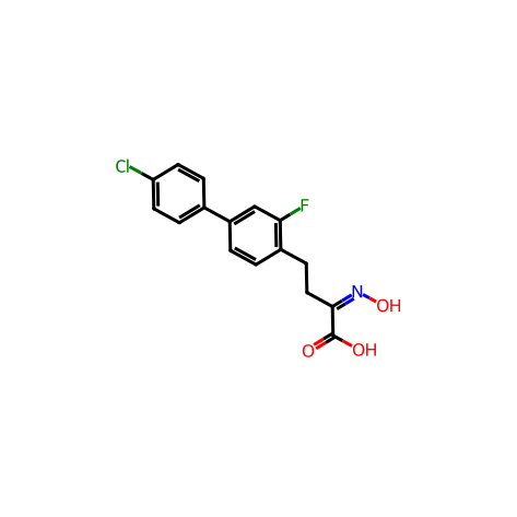 O=C(O)C(CCc1ccc(-c2ccc(Cl)cc2)cc1F)=NO